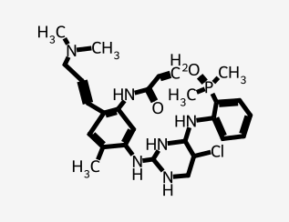 C=CC(=O)Nc1cc(NC2NCC(Cl)C(Nc3ccccc3P(C)(C)=O)N2)c(C)cc1C#CCN(C)C